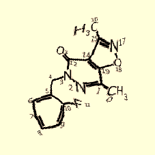 Cc1nn(Cc2ccccc2F)c(=O)c2c(C)noc12